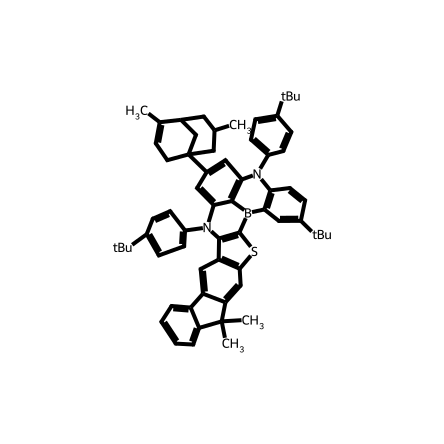 CC1=CCC2(c3cc4c5c(c3)N(c3ccc(C(C)(C)C)cc3)c3c(sc6cc7c(cc36)-c3ccccc3C7(C)C)B5c3cc(C(C)(C)C)ccc3N4c3ccc(C(C)(C)C)cc3)CC(C)CC1C2